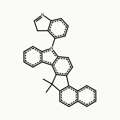 CC1(C)c2ccc3ccccc3c2-c2ccc3c(c21)c1ccccc1n3-c1cccc2c1CC=N2